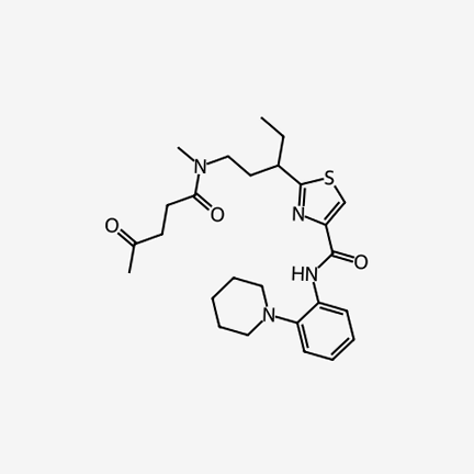 CCC(CCN(C)C(=O)CCC(C)=O)c1nc(C(=O)Nc2ccccc2N2CCCCC2)cs1